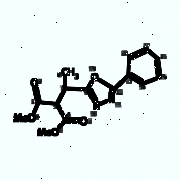 COC(=O)C(C(=O)OC)C(C)c1nnc(-c2ccccc2)o1